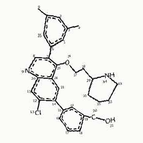 Cc1cc(C)cc(-c2cnc3cc(Cl)c(-c4cccc(CO)c4)cc3c2OCCC2CCCCN2)c1